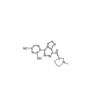 CN1CCC[C@@H](Nc2nnc(-c3ccc(C#N)cc3O)n3ccnc23)C1